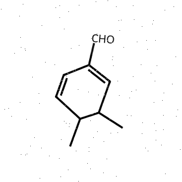 CC1C=CC(C=O)=CC1C